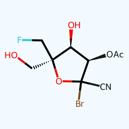 CC(=O)O[C@@H]1[C@H](O)[C@](CO)(CF)OC1(Br)C#N